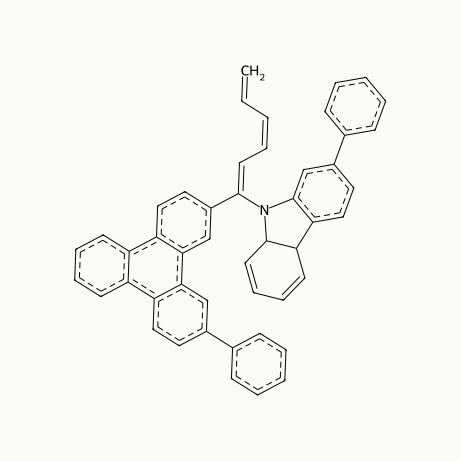 C=C/C=C\C=C(\c1ccc2c3ccccc3c3ccc(-c4ccccc4)cc3c2c1)N1c2cc(-c3ccccc3)ccc2C2C=CC=CC21